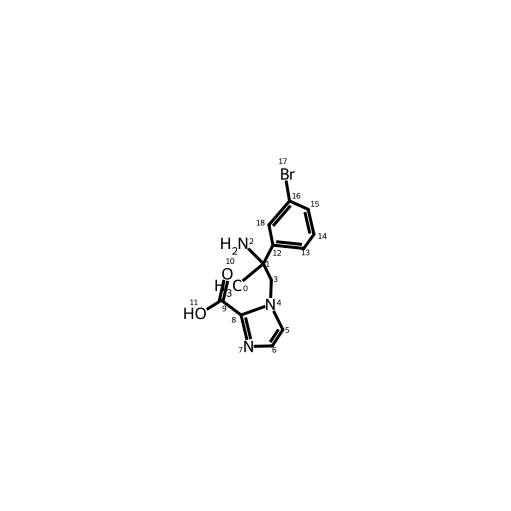 CC(N)(Cn1ccnc1C(=O)O)c1cccc(Br)c1